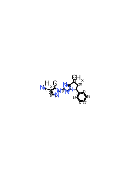 Cc1c(C#N)cnn1-c1nc2n(n1)C(c1ccccc1)CC2C